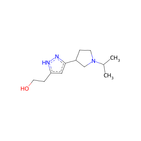 CC(C)N1CCC(c2cc(CCO)[nH]n2)C1